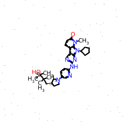 Cn1c(=O)ccc2c3cnc(Nc4ccc(N5CC[C@@H](CC(C)(C)[Si](C)(C)O)C5)cn4)nc3n(C3CCCC3)c21